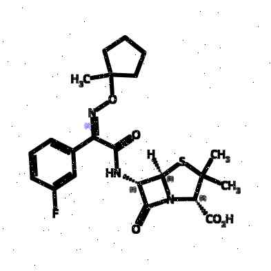 CC1(O/N=C(\C(=O)N[C@H]2C(=O)N3[C@@H]2SC(C)(C)[C@@H]3C(=O)O)c2cccc(F)c2)CCCC1